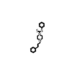 S=C(Sc1ccccc1)N1CCN(CC=Cc2ccccc2)CC1